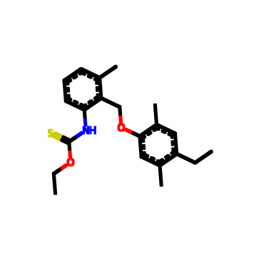 CCOC(=S)Nc1cccc(C)c1COc1cc(C)c(CC)cc1C